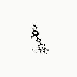 CC(C)(C)OC(=O)N1CC(c2ccc(OC(F)(F)F)cc2F)C1